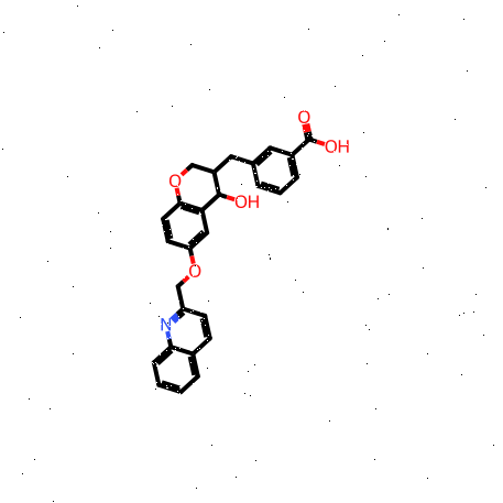 O=C(O)c1cccc(CC2COc3ccc(OCc4ccc5ccccc5n4)cc3C2O)c1